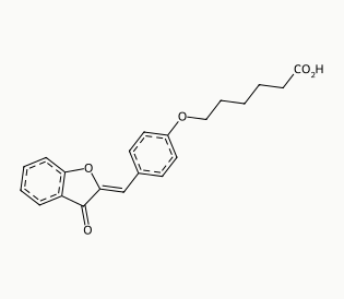 O=C(O)CCCCCOc1ccc(/C=C2\Oc3ccccc3C2=O)cc1